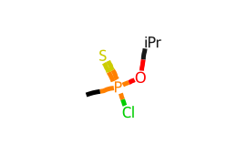 CC(C)OP(C)(=S)Cl